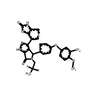 CC(F)(F)CN1C(=O)c2[nH]nc(-c3cccc4[nH]c(=O)oc34)c2C1c1ccc(Oc2ccc(OC(F)(F)F)c(C(F)(F)F)c2)cc1